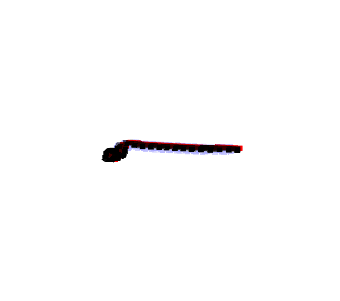 CC(C)=CCC/C(C)=C/CC/C(C)=C/CC/C(C)=C/CC/C(C)=C/CC/C(C)=C/CC/C(C)=C/CC/C(C)=C/CC/C(C)=C/CC/C(C)=C/CC/C(C)=C/CC/C(C)=C/CC/C(C)=C/CC/C(C)=C/CC/C(C)=C/CC1=C(C)C(=O)c2ccccc2C1=O